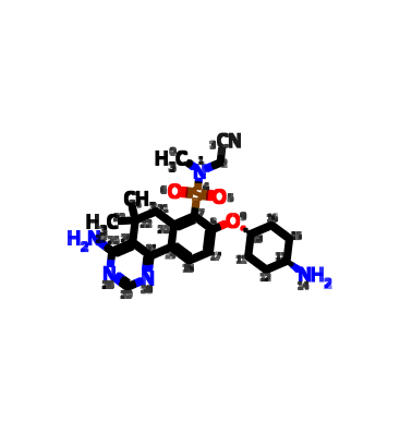 CN(CC#N)S(=O)(=O)c1c(O[C@H]2CC[C@H](N)CC2)ccc2c1CC(C)(C)c1c(N)ncnc1-2